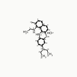 CCNc1c(I)ccc2ccc3c(c12)Nc1ccc(N(CC)CC)cc1S3.Cl